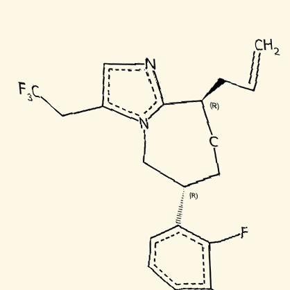 C=CC[C@H]1CC[C@H](c2cccc(F)c2F)Cn2c(CC(F)(F)F)cnc21